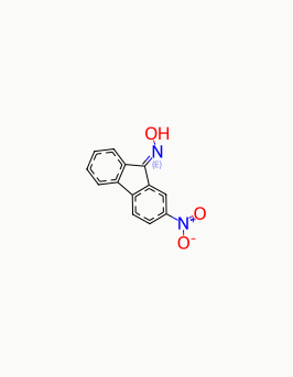 O=[N+]([O-])c1ccc2c(c1)/C(=N/O)c1ccccc1-2